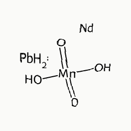 [Nd].[O]=[Mn](=[O])([OH])[OH].[PbH2]